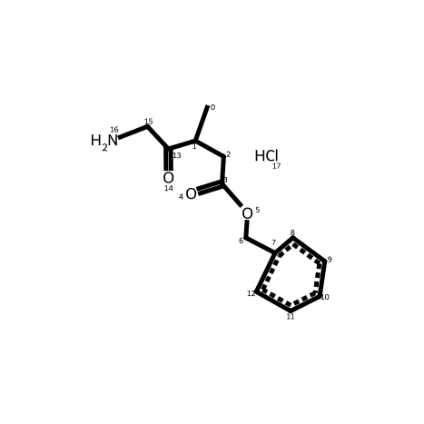 CC(CC(=O)OCc1ccccc1)C(=O)CN.Cl